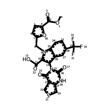 COC(=O)c1ccc(Cn2c(C(=O)O)c(-n3c(=O)[nH]c4cscc4c3=O)c3cc(C(F)(F)F)ccc32)o1